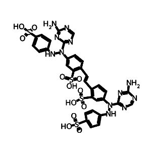 Nc1ncnc(N(Nc2ccc(S(=O)(=O)O)cc2)c2ccc(C=Cc3ccc(N(Nc4ccc(S(=O)(=O)O)cc4)c4ncnc(N)n4)cc3S(=O)(=O)O)c(S(=O)(=O)O)c2)n1